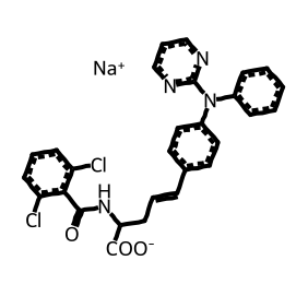 O=C(NC(C/C=C/c1ccc(N(c2ccccc2)c2ncccn2)cc1)C(=O)[O-])c1c(Cl)cccc1Cl.[Na+]